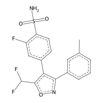 Cc1cccc(-c2noc(C(F)F)c2-c2ccc(S(N)(=O)=O)c(F)c2)c1